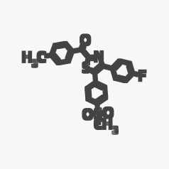 Cc1ccc(C(=O)c2nc(-c3ccc(F)cc3)c(-c3ccc(S(C)(=O)=O)cc3)s2)cc1